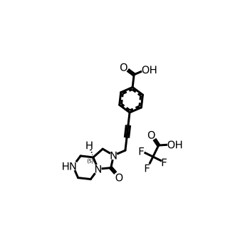 O=C(O)C(F)(F)F.O=C(O)c1ccc(C#CCN2C[C@@H]3CNCCN3C2=O)cc1